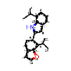 CC(C)c1cccc2cc(-c3ccc4ccoc4c3C(C)C)[nH]c12